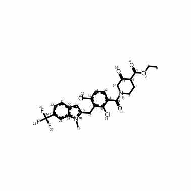 CCOC(=O)C1CCN(C(=O)c2ccc(Cl)c(Cc3cc4ccc(C(F)(F)F)cc4n3C)c2Cl)CC1=O